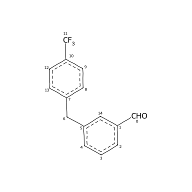 O=Cc1cccc(Cc2ccc(C(F)(F)F)cc2)c1